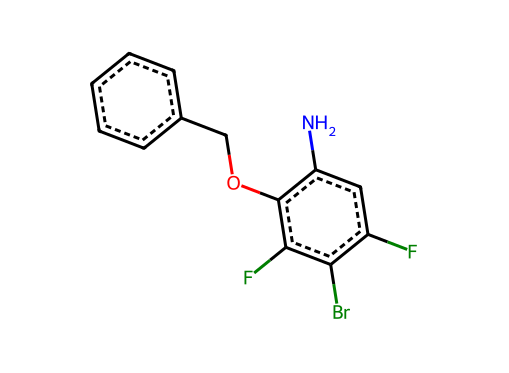 Nc1cc(F)c(Br)c(F)c1OCc1ccccc1